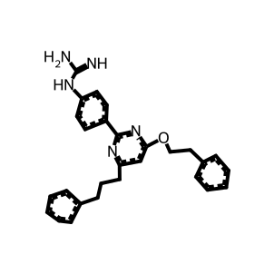 N=C(N)Nc1ccc(-c2nc(CCCc3ccccc3)cc(OCCc3ccccc3)n2)cc1